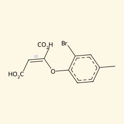 Cc1ccc(O/C(=C\C(=O)O)C(=O)O)c(Br)c1